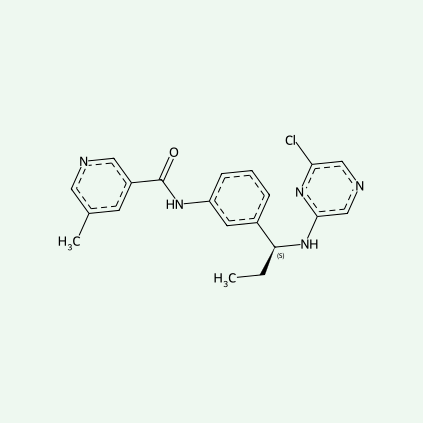 CC[C@H](Nc1cncc(Cl)n1)c1cccc(NC(=O)c2cncc(C)c2)c1